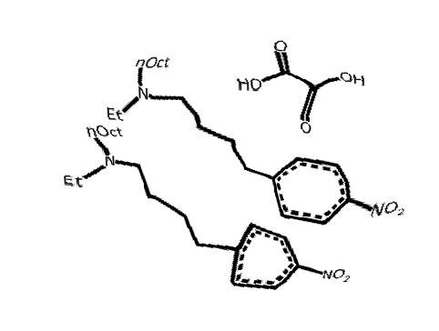 CCCCCCCCN(CC)CCCCc1ccc([N+](=O)[O-])cc1.CCCCCCCCN(CC)CCCCc1ccc([N+](=O)[O-])cc1.O=C(O)C(=O)O